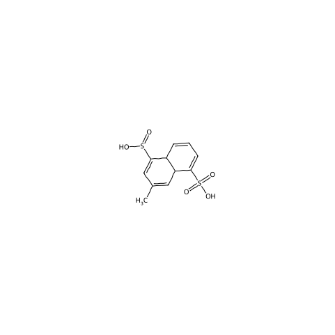 CC1=CC2C(S(=O)(=O)O)=CC=CC2C(S(=O)O)=C1